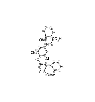 COc1ccc(Oc2c(Cl)cc(N(CC(=O)O)C(=O)N3CCOCC3)cc2Cl)cc1-c1ccccc1